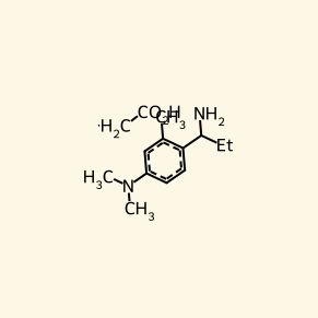 CCC(N)c1ccc(N(C)C)cc1C.[CH2]C(=O)O